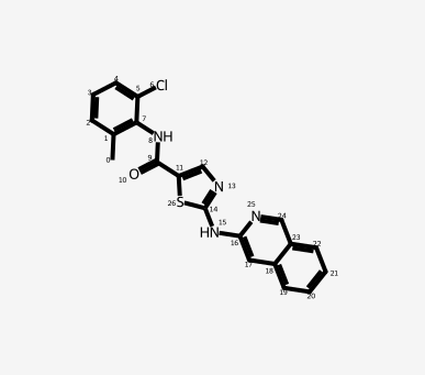 Cc1cccc(Cl)c1NC(=O)c1cnc(Nc2cc3ccccc3cn2)s1